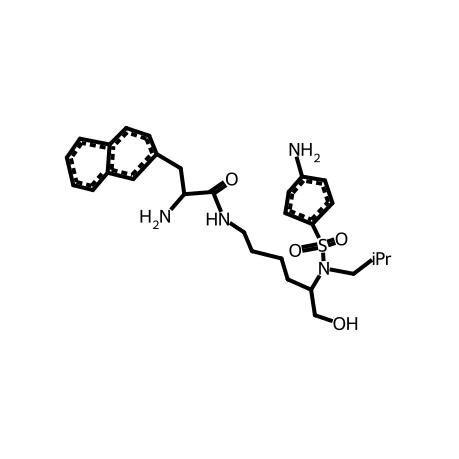 CC(C)CN(C(CO)CCCCNC(=O)C(N)Cc1ccc2ccccc2c1)S(=O)(=O)c1ccc(N)cc1